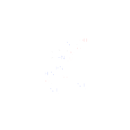 NCCCC[C@H](NC(=O)[C@@H](N)CC(N)=O)C(=O)N[C@@H](Cc1ccccc1)C(=O)N1CCC[C@@H]1C(=O)O